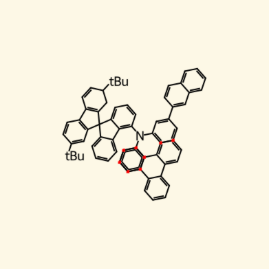 CC(C)(C)c1ccc2c(c1)C1(C3=C2C=CC(C(C)(C)C)C3)c2ccccc2-c2c(N(c3cccc(-c4ccc5ccccc5c4)c3)c3ccccc3-c3ccccc3-c3ccccc3-c3ccccc3)cccc21